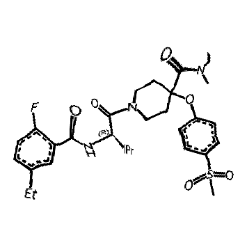 CCc1ccc(F)c(C(=O)N[C@@H](C(=O)N2CCC(Oc3ccc(S(C)(=O)=O)cc3)(C(=O)N(C)C)CC2)C(C)C)c1